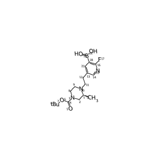 C[C@H]1CN(C(=O)OC(C)(C)C)CCN1CCc1cnc(F)c(B(O)O)c1